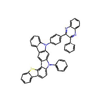 c1ccc(-c2nc3ccccc3nc2-c2ccc(-n3c4ccccc4c4cc5c6c7sc8ccccc8c7ccc6n(-c6ccccc6)c5cc43)cc2)cc1